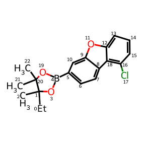 CCC1(C)OB(c2ccc3c(c2)oc2cccc(Cl)c23)OC1(C)C